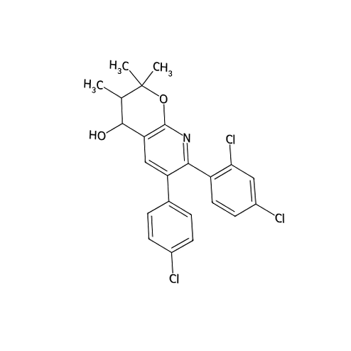 CC1C(O)c2cc(-c3ccc(Cl)cc3)c(-c3ccc(Cl)cc3Cl)nc2OC1(C)C